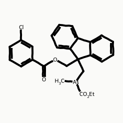 CCOC(=O)[As](C)CC1(COC(=O)c2cccc(Cl)c2)c2ccccc2-c2ccccc21